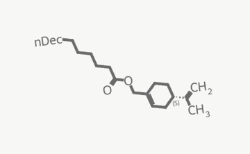 C=C(C)[C@@H]1CC=C(COC(=O)CCCCCCCCCCCCCCC)CC1